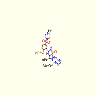 CCCOc1ccc(S(=O)(=O)N2CCN(CC)CC2)cc1-c1nc2c(CCC)nn(Cc3ncnn3CCOC)c2c(=O)[nH]1